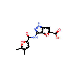 Cc1cc(C(=O)Nc2n[nH]c3cc(C(=O)O)oc23)oc1C